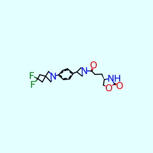 O=C1N[C@H](CCC(=O)N2CC(c3ccc(N4CC5(C4)CC(F)(F)C5)cc3)C2)CO1